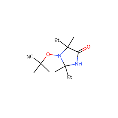 CCC1(C)NC(=O)C(C)(CC)N1OC(C)(C)C#N